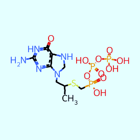 CC(CN1CNc2c1nc(N)[nH]c2=O)SCP(=O)(O)OP(=O)(O)OP(=O)(O)O